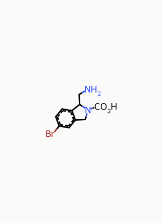 NCC1c2ccc(Br)cc2CN1C(=O)O